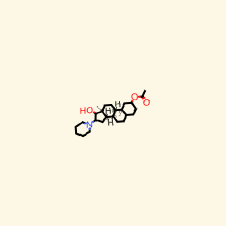 CC(=O)OC1CCC2CC[C@@H]3[C@@H](CC[C@]4(C)C(O)C(N5CCCCC5)C[C@@H]34)[C@@]2(C)C1